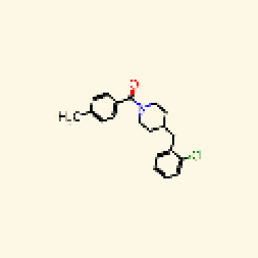 [CH2]c1ccc(C(=O)N2CCC(Cc3ccccc3Cl)CC2)cc1